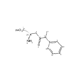 CN(C(=O)C[C@H](N)C(=O)O)c1ccccn1